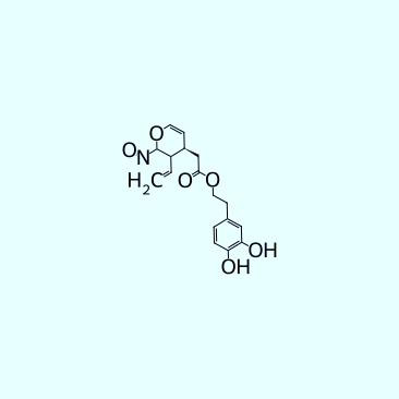 C=CC1C(N=O)OC=C[C@H]1CC(=O)OCCc1ccc(O)c(O)c1